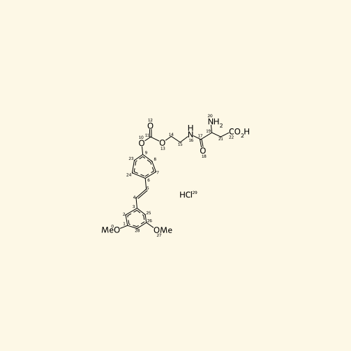 COc1cc(C=Cc2ccc(OC(=O)OCCNC(=O)C(N)CC(=O)O)cc2)cc(OC)c1.Cl